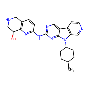 C[C@H]1CC[C@H](n2c3cnccc3c3cnc(Nc4ccc5c(n4)[C@@H](O)CNC5)nc32)CC1